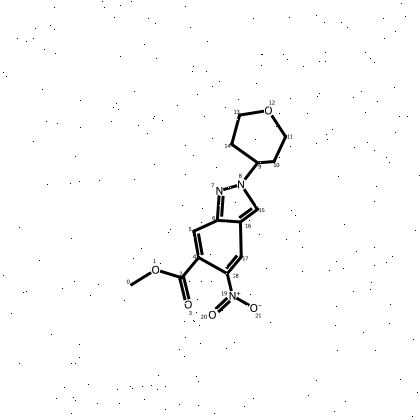 COC(=O)c1cc2nn(C3CCOCC3)cc2cc1[N+](=O)[O-]